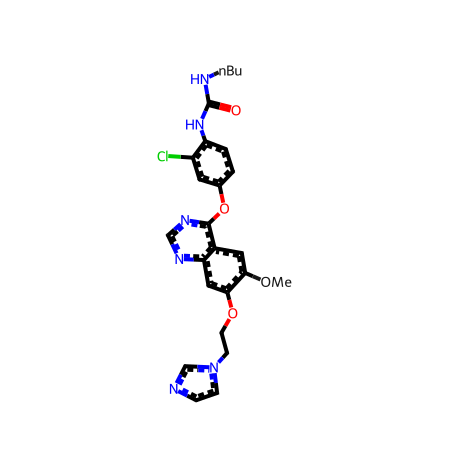 CCCCNC(=O)Nc1ccc(Oc2ncnc3cc(OCCn4ccnc4)c(OC)cc23)cc1Cl